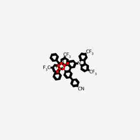 N#Cc1ccc(-c2ccc(-n3c4ccc(C(F)(F)F)cc4c4cc(C(F)(F)F)ccc43)c(-c3cc(-n4c5ccc(C(F)(F)F)cc5c5cc(C(F)(F)F)ccc54)ccc3-c3nc(-c4ccccc4)nc(-c4ccccc4)n3)c2)cc1